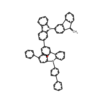 C=C1c2ccccc2-c2cc(-n3c4ccccc4c4ccc(-c5cccc(-c6ccccc6N(c6ccc(-c7ccccc7)cc6)c6ccc(-c7ccccc7)cc6)c5)cc43)ccc21